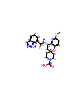 COc1ccc2c(n1)[C@@H](NC(=O)c1cccc3cn[nH]c13)CC1(CCN(C(=O)O)CC1)O2